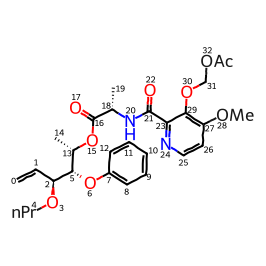 C=C[C@H](OCCC)[C@@H](Oc1ccccc1)[C@H](C)OC(=O)[C@H](C)NC(=O)c1nccc(OC)c1OCOC(C)=O